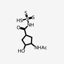 CC(=O)NC1CC(C(=O)NS(=S)(=S)S)CC1O